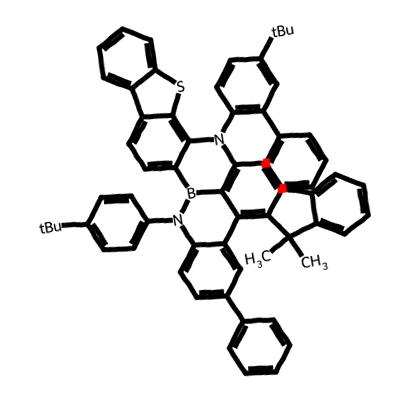 CC(C)(C)c1ccc(N2B3c4ccc5c(sc6ccccc65)c4N(c4ccc(C(C)(C)C)cc4-c4ccccc4)c4cc5c(c(c43)-c3cc(-c4ccccc4)ccc32)C(C)(C)c2ccccc2-5)cc1